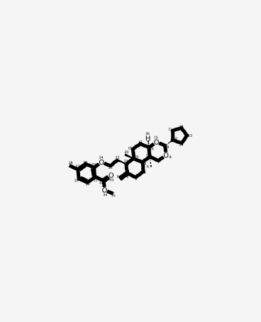 C=C1CCC2[C@]3(C)CO[C@@H](C4CCCC4)O[C@@H]3CC[C@@]2(C)[C@@H]1CCOc1cc(C)ccc1C(=O)OC